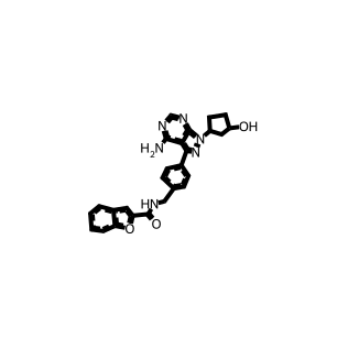 Nc1ncnc2c1c(-c1ccc(CNC(=O)c3cc4ccccc4o3)cc1)nn2C1CCC(O)C1